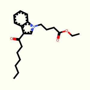 CCCCCCC(=O)c1cn(CCCC(=O)OCC)c2ccccc12